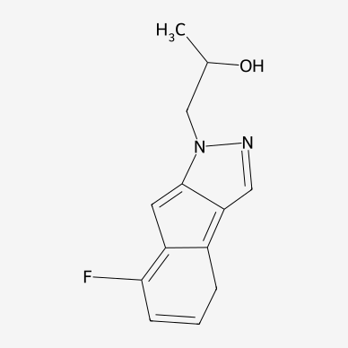 CC(O)Cn1ncc2c1=CC1=C(F)C=CCC=21